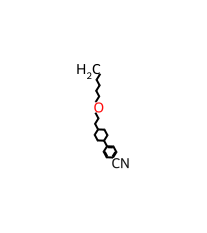 C=CCCCCCOCCCC1CCC(c2ccc(C#N)cc2)CC1